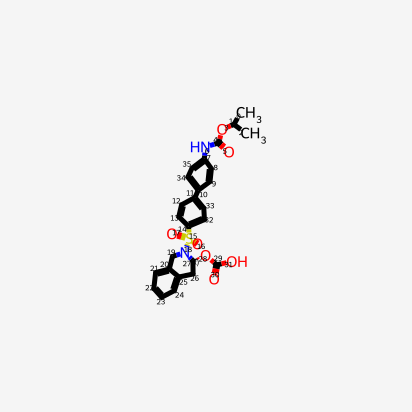 CC(C)OC(=O)Nc1ccc(-c2ccc(S(=O)(=O)N3Cc4ccccc4C[C@H]3OC(=O)O)cc2)cc1